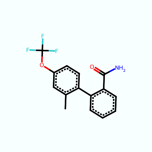 Cc1cc(OC(F)(F)F)ccc1-c1ccccc1C(N)=O